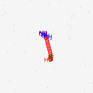 CCCN(OCCNC(=O)OCCOCCOCCOCCOCCOCCOCCOCCOCCOCCOCCC(=O)Oc1c(F)c(F)c(S(=O)(=O)O)c(F)c1F)C(=O)C1=Cc2ccc(C(=O)Nc3ccccc3)cc2N=C(N)C1